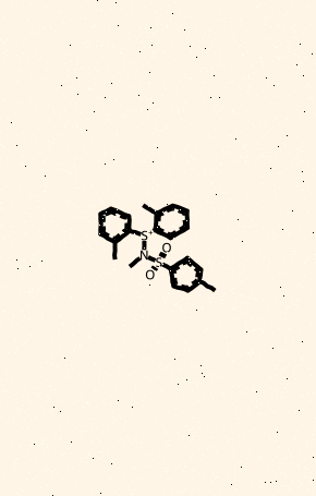 Cc1ccc(S(=O)(=O)N(C)[S+](c2ccccc2C)c2ccccc2C)cc1